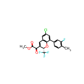 COC(=O)C(=O)C1=Cc2cc(Cl)cc(-c3ccc(C)c(F)c3)c2O[C@@H]1C(F)(F)F